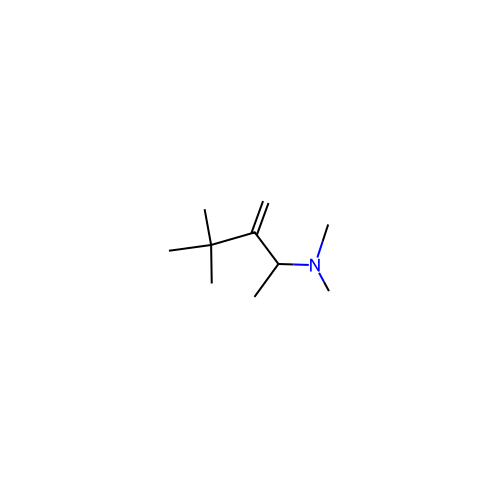 C=C(C(C)N(C)C)C(C)(C)C